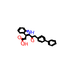 O=C(O)Cc1c(C(=O)Cc2ccc(-c3ccccc3)cc2)[nH]c2ccccc12